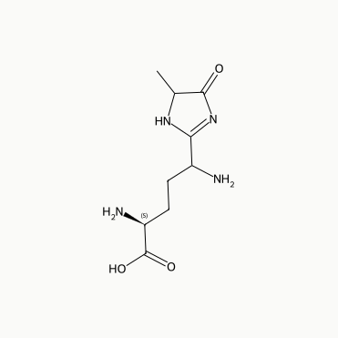 CC1NC(C(N)CC[C@H](N)C(=O)O)=NC1=O